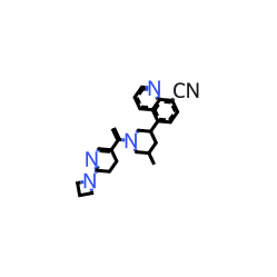 C=C(C1=CN=C(N2CCC2)CC1)N1CC(C)CC(c2ccc(C#N)c3ncccc23)C1